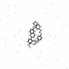 CCC(Cc1ccc(OCCN2CCC3(CC2)OCCO3)cc1)Nc1cc(OC)ccc1C1CCc2cc(O)ccc2C1